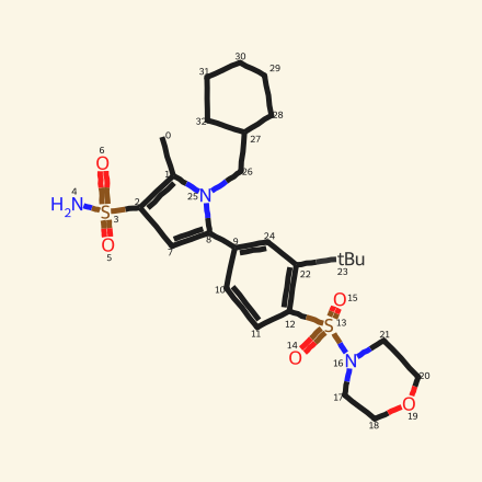 Cc1c(S(N)(=O)=O)cc(-c2ccc(S(=O)(=O)N3CCOCC3)c(C(C)(C)C)c2)n1CC1CCCCC1